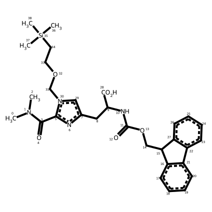 CN(C)C(=O)c1nc(CC(NC(=O)OCC2c3ccccc3-c3ccccc32)C(=O)O)cn1COCC[Si](C)(C)C